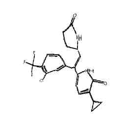 O=C1CC[C@H](/C=C(\c2ccc(C(F)(F)F)c(Cl)c2)c2ccc(C3CC3)c(=O)[nH]2)N1